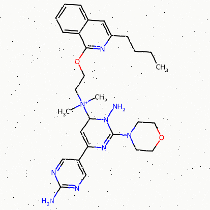 CCCCc1cc2ccccc2c(OCC[N+](C)(C)C2C=C(c3cnc(N)nc3)N=C(N3CCOCC3)N2N)n1